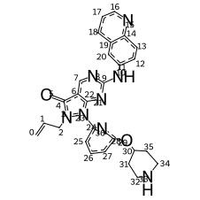 C=CCn1c(=O)c2cnc(Nc3ccc4ncccc4c3)nc2n1-c1cccc(OC2CCNCC2)n1